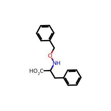 O=C(O)C(Cc1ccccc1)NOCc1ccccc1